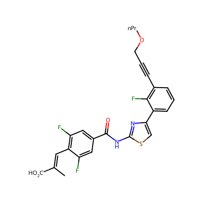 CCCOCC#Cc1cccc(-c2csc(NC(=O)c3cc(F)c(C=C(C)C(=O)O)c(F)c3)n2)c1F